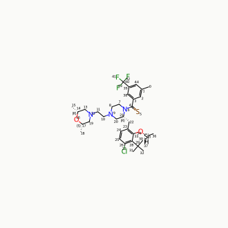 Cc1cc(C(=S)N2CCN(CCN3C[C@@H](C)O[C@@H](C)C3)C[C@H]2Cc2ccc(Cl)c(C(C)(C)C)c2O[SiH](C)C)cc(C(F)(F)F)c1